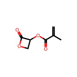 C=C(C)C(=O)OC1COC1=O